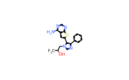 Nc1ncnc2sc(-c3c(-c4ccccc4)ncn3CC(O)C(F)(F)F)cc12